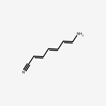 N#CC=CC=CC=CN